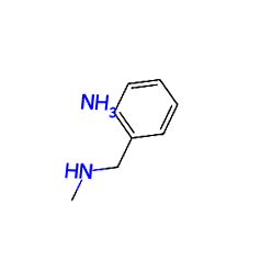 CNCc1ccccc1.N